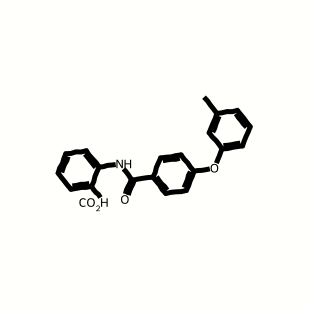 Cc1cccc(Oc2ccc(C(=O)Nc3ccccc3C(=O)O)cc2)c1